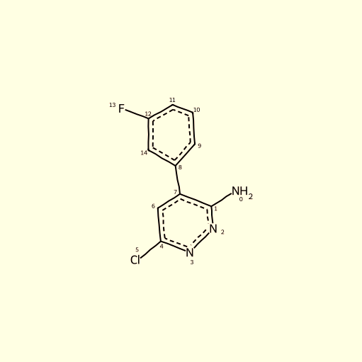 Nc1nnc(Cl)cc1-c1cccc(F)c1